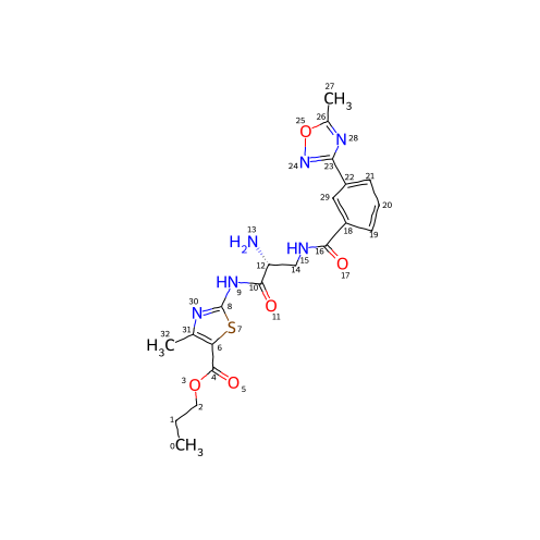 CCCOC(=O)c1sc(NC(=O)[C@H](N)CNC(=O)c2cccc(-c3noc(C)n3)c2)nc1C